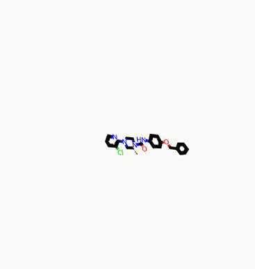 C[C@@H]1CN(c2ncccc2Cl)CCN1C(=O)Nc1ccc(OCc2ccccc2)cc1